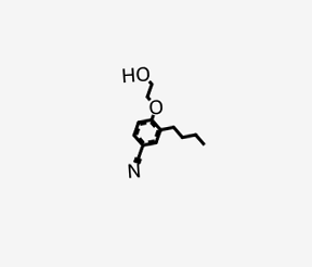 CCCCc1cc(C#N)ccc1OCCO